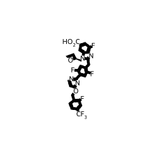 O=C(O)c1cc(F)c2nc(Cc3cc(F)c(-c4nccc(OCc5ccc(C(F)(F)F)cc5F)n4)cc3F)n(C[C@@H]3CCO3)c2c1